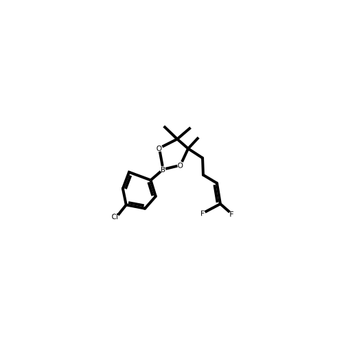 CC1(C)OB(c2ccc(Cl)cc2)OC1(C)CCC=C(F)F